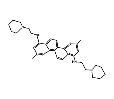 Cc1cc(NCCN2CCCCC2)c2ccc3c(ccc4c(NCCN5CCCCC5)cc(C)nc43)c2n1